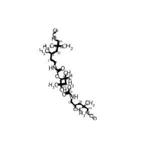 CC(CCNC(=O)O[C@H]1C(C)(C)[C@H](OC(=O)NCC(C)CC(C)(C)CN=C=O)C1(C)C)CC(C)(C)CN=C=O